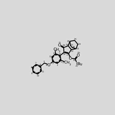 Cc1cc(OCc2ccccc2)cc(C)c1C1=C(OC(=O)C(C)(C)C)C2C3CCC(CC3)C2C1=O